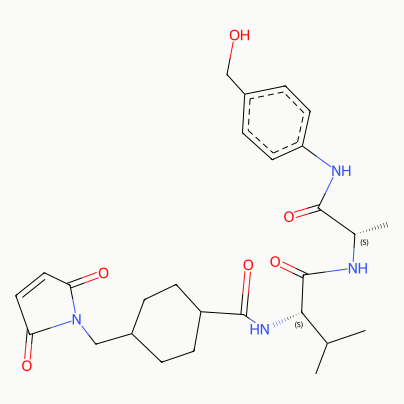 CC(C)[C@H](NC(=O)C1CCC(CN2C(=O)C=CC2=O)CC1)C(=O)N[C@@H](C)C(=O)Nc1ccc(CO)cc1